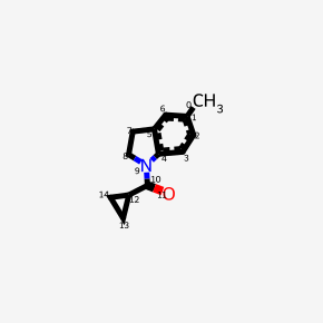 Cc1ccc2c(c1)CCN2C(=O)C1CC1